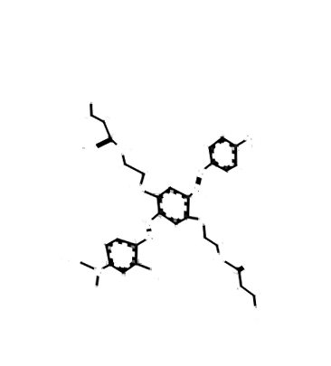 CCCCCCCCN(CCCCCCCC)c1ccc(/N=N/c2cc(OCCOC(=O)CCCl)c(/N=N/c3ccc([N+](=O)[O-])cc3)cc2OCCOC(=O)CCCl)c(C)c1